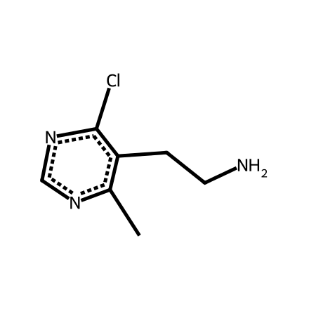 Cc1ncnc(Cl)c1CCN